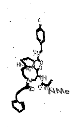 CN[C@@H](C)C(=O)NC1CN(C(=O)Cc2ccccc2)CC[C@H]2CC[C@@H](C(=O)NCc3ccc(F)cc3)N2C1=O